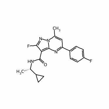 Cc1cc(-c2ccc(F)cc2)nc2c(C(=O)N[C@@H](C)C3CC3)c(F)nn12